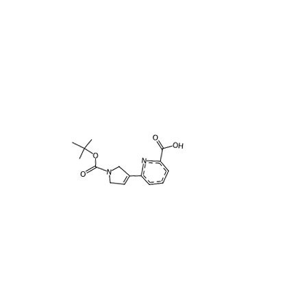 CC(C)(C)OC(=O)N1CC=C(c2cccc(C(=O)O)n2)C1